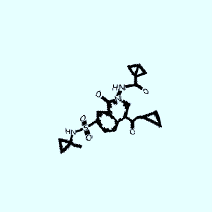 CC1(NS(=O)(=O)c2ccc3c(C(=O)C4CC4)cn(NC(=O)C45CC4C5)c(=O)c3c2)CC1